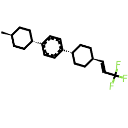 C[C@H]1CC[C@H](c2ccc([C@H]3CC[C@H](C=CC(F)(F)F)CC3)cc2)CC1